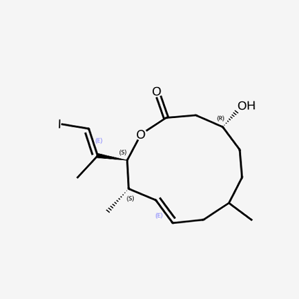 C/C(=C\I)[C@H]1OC(=O)C[C@H](O)CCC(C)C/C=C/[C@@H]1C